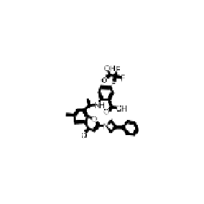 Cc1cc(C(C)Nc2ccccc2C(=O)O)c2oc(N3CC(c4ccccc4)C3)cc(=O)c2c1.O=C(O)C(F)(F)F